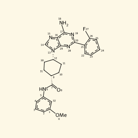 COc1cccc(NC(=O)[C@H]2CC[C@@H](n3cnc4c(N)nc(-c5ccccc5F)nc43)CC2)c1